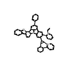 C=C[n+]1ccccc1-c1cc2c3cc(-c4ccccc4)cc4c5c6oc7ccccc7c6ccc5n(c2cc1C1C2c5ccccc5-c5cccc[n+]5C12)c34